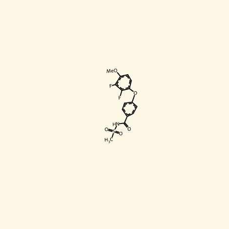 COc1ccc(Oc2ccc(C(=O)NS(C)(=O)=O)cc2)c(F)c1F